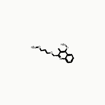 CCCCOCCCOCc1nc2ccccc2c(OCCCC)c1C